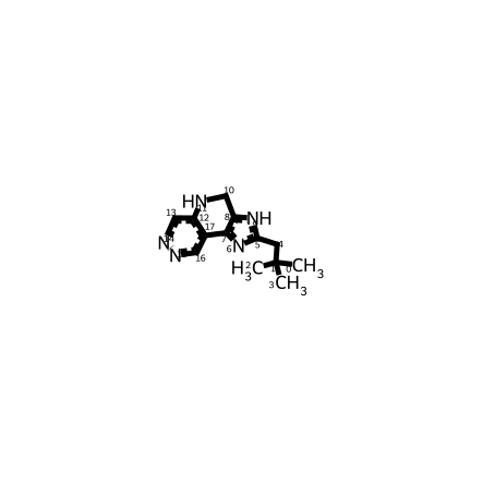 CC(C)(C)Cc1nc2c([nH]1)CNc1cnncc1-2